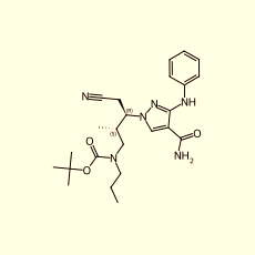 CCCN(C[C@H](C)[C@@H](CC#N)n1cc(C(N)=O)c(Nc2ccccc2)n1)C(=O)OC(C)(C)C